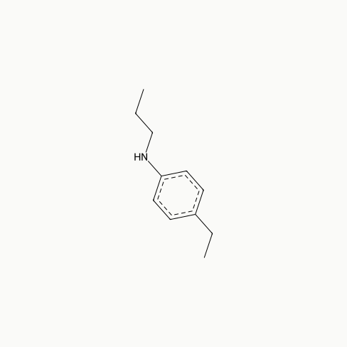 CCCNc1ccc(CC)cc1